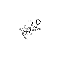 CC(=O)OC(C(C)=O)(C(=O)O)C(O)C(=O)O.O=C(O)c1ccccc1C(=O)O